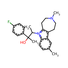 Cc1ccc2c(c1)c1c(n2C(C)C(C)(O)c2ccc(F)cc2)CCN(C)CC1